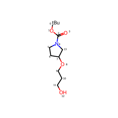 CC(C)(C)OC(=O)N1CCC(OCCCO)C1